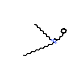 CCCCCCCCCCCCCCc1nc(CCCc2ccccc2)cn1CCCCCCCCCCC